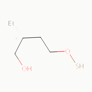 CC[C@@H](CO)CCOS